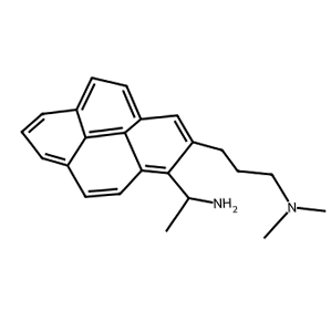 CC(N)c1c(CCCN(C)C)cc2ccc3cccc4ccc1c2c34